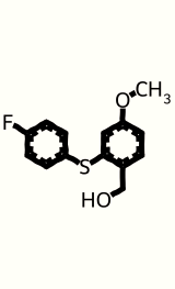 COc1ccc(CO)c(Sc2ccc(F)cc2)c1